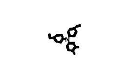 C=Cc1ccc(N(c2ccc(C=C)cc2)c2ccc(C)c(C)c2)cc1